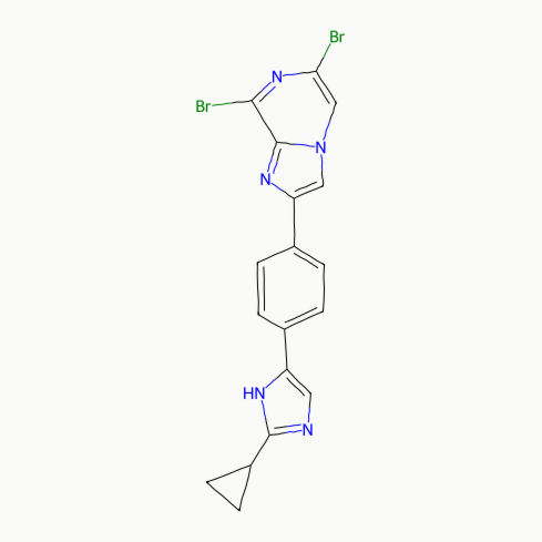 Brc1cn2cc(-c3ccc(-c4cnc(C5CC5)[nH]4)cc3)nc2c(Br)n1